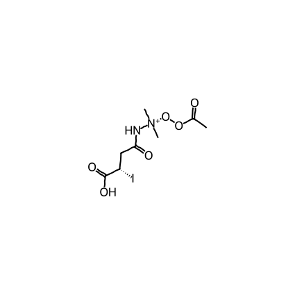 CC(=O)OO[N+](C)(C)NC(=O)C[C@H](I)C(=O)O